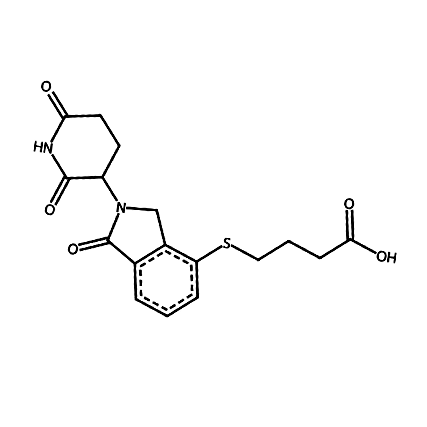 O=C(O)CCCSc1cccc2c1CN(C1CCC(=O)NC1=O)C2=O